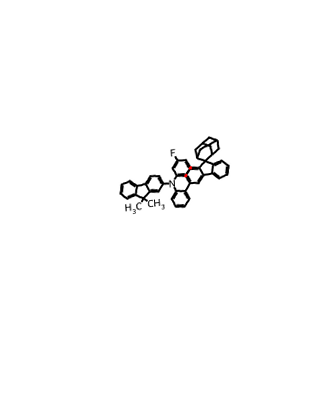 CC1(C)c2ccccc2-c2ccc(N(c3cccc(F)c3)c3ccccc3-c3ccc4c(c3)-c3ccccc3C43C4CC5CC(C4)CC3C5)cc21